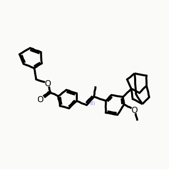 COc1ccc(/C(C)=C/c2ccc(C(=O)OCc3ccccc3)cc2)cc1C12CC3CC(CC(C3)C1)C2